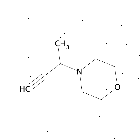 C#CC(C)N1CCOCC1